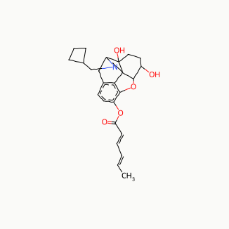 C/C=C/C=C/C(=O)Oc1ccc2c3c1OC1C(O)CCC4(O)C(C2)N(CC2CCC2)CC314